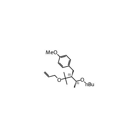 C=CCOC(C)(C)[C@@H](Cc1ccc(OC)cc1)[C@H](C)OCCCC